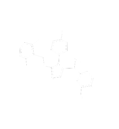 NC(c1ccc(Cl)c(Cl)c1)c1cnc(SCc2c(F)cccc2F)n1-c1ccc(F)cc1